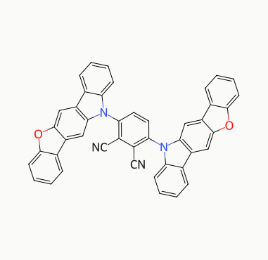 N#Cc1c(-n2c3ccccc3c3cc4oc5ccccc5c4cc32)ccc(-n2c3ccccc3c3cc4oc5ccccc5c4cc32)c1C#N